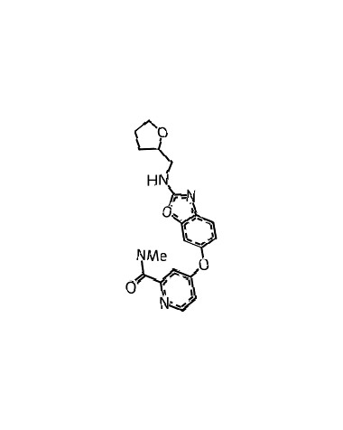 CNC(=O)c1cc(Oc2ccc3nc(NCC4CCCO4)oc3c2)ccn1